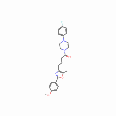 COc1ccc(-c2nc(CCCC(=O)N3CCN(c4ccc(F)cc4)CC3)c(C)o2)cc1